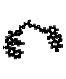 CC(COCC(F)CNC(=O)c1cnc(Nc2ccc3cnccc3n2)cc1NC1CC1)OCCOCCNc1cccc2c1C(=O)N(C1CCC(=O)NC1=O)C2=O